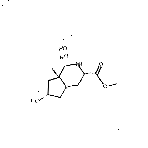 COC(=O)[C@@H]1CN2C[C@H](O)C[C@@H]2CN1.Cl.Cl